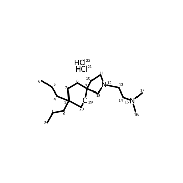 CCCC1(CCC)CCC2(CCN(CCN(C)C)C2)CC1.Cl.Cl